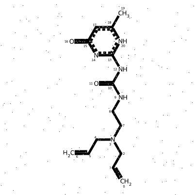 C=CCN(CC=C)CCNC(=O)Nc1nc(=O)cc(C)[nH]1